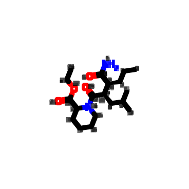 CCC[C@H](C(N)=O)[C@@H](CC(C)C)C(=O)N1CCCCC1C(=O)OCC